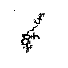 CCC(C)(C)n1c(CCCCC(=O)CC(C)(C)O)nc2ccc(C(F)(F)F)nc21